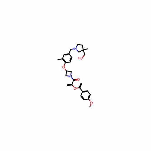 C=C(OC(=C)c1ccc(OC)cc1)C(=O)N1CC(Oc2ccc(CN3CCC(C)(CO)C3)cc2C)C1